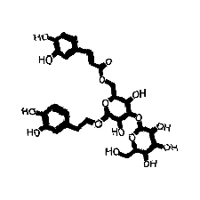 O=C(/C=C/c1ccc(O)c(O)c1)OCC1OC(OCCc2ccc(O)c(O)c2)C(O)C(OC2OC(CO)C(O)C(O)C2O)C1O